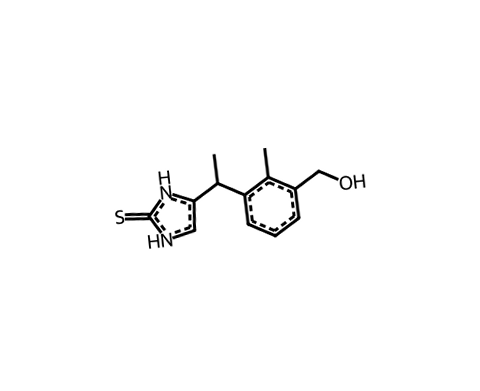 Cc1c(CO)cccc1C(C)c1c[nH]c(=S)[nH]1